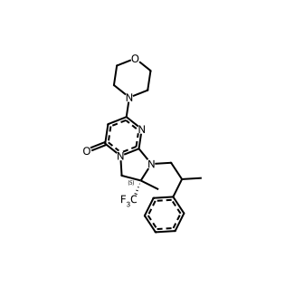 CC(CN1c2nc(N3CCOCC3)cc(=O)n2C[C@@]1(C)C(F)(F)F)c1ccccc1